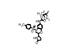 Cc1ccc(S(=O)(=O)N2CC(C3CCC(=O)N3)Oc3ccc(NC(=O)OC(C)(C)C(F)(F)F)cc32)cc1